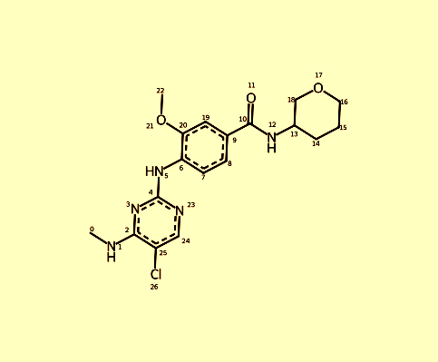 CNc1nc(Nc2ccc(C(=O)NC3CCCOC3)cc2OC)ncc1Cl